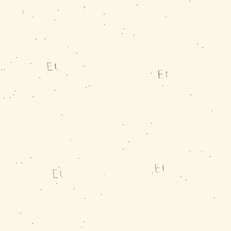 CC[C]1C[C](CC)C[C](CC)C[C](CC)C1